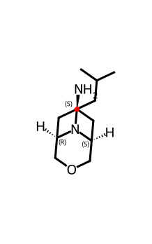 CC(C)CCN1[C@@H]2COC[C@H]1C[C@@H](N)C2